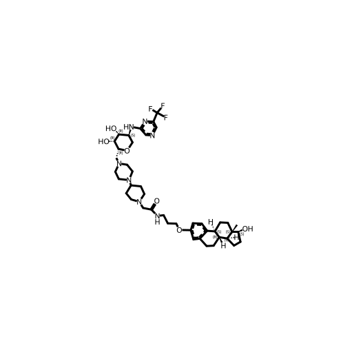 C[C@]12CC[C@@H]3c4ccc(OCCCNC(=O)CN5CCC(N6CCN(C[C@H]7OC[C@H](Nc8cncc(C(F)(F)F)n8)[C@@H](O)[C@H]7O)CC6)CC5)cc4CC[C@H]3[C@@H]1CC[C@@H]2O